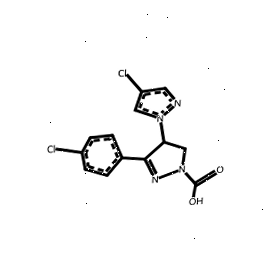 O=C(O)N1CC(n2cc(Cl)cn2)C(c2ccc(Cl)cc2)=N1